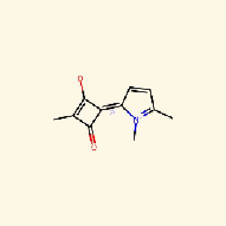 CC1=C([O-])/C(=C2\C=CC(C)=[N+]2C)C1=O